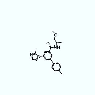 COCC(C)NC(=O)c1cc(-c2ccc(C)cc2)cc(-n2ccnc2C)c1